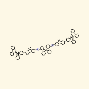 CC1(C)c2cc(/C=C/c3ccc4c(c3)C3(c5ccccc5-c5ccccc53)c3cc(/C=C/c5ccc6c(c5)C(C)(C)c5cc(-c7ccc8c(c7)c7ccccc7n8-c7cc8ccccc8c8ccccc78)ccc5-6)ccc3-4)ccc2-c2ccc(-c3ccc4c(c3)c3ccccc3n4-c3cc4ccccc4c4ccccc34)cc21